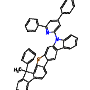 CC1(c2ccccc2)c2ccccc2-c2ccc3c(sc4cc5c(cc43)c3ccccc3n5-c3cc(-c4ccccc4)cc(-c4ccccc4)n3)c21